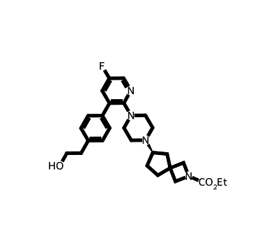 CCOC(=O)N1CC2(CC[C@@H](N3CCN(c4ncc(F)cc4-c4ccc(CCO)cc4)CC3)C2)C1